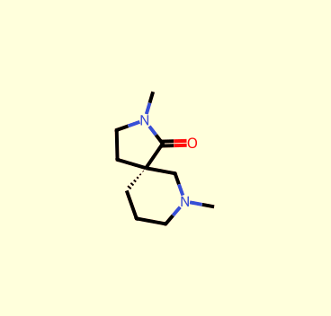 CN1CCC[C@@]2(CCN(C)C2=O)C1